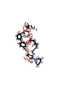 CC1(C)OCC(COC(=O)CC/C=C\CC[C@@H]2[C@@H](N3CCCCC3)[C@@H](O)C[C@@H]2OCc2ccc(-c3ccccc3)cc2)O1